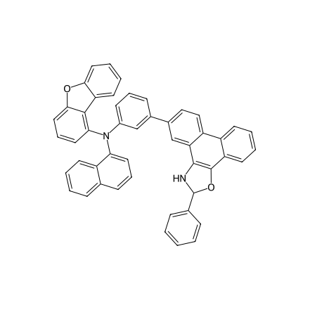 c1ccc(C2Nc3c(c4ccccc4c4ccc(-c5cccc(N(c6cccc7ccccc67)c6cccc7oc8ccccc8c67)c5)cc34)O2)cc1